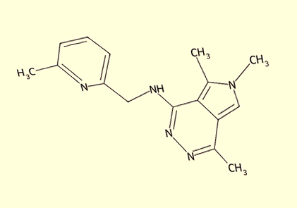 Cc1cccc(CNc2nnc(C)c3cn(C)c(C)c23)n1